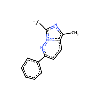 Cc1nc(C)n2nc(-c3ccccc3)ccc12